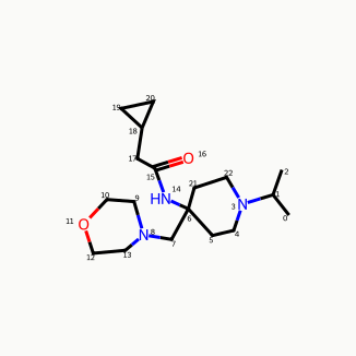 CC(C)N1CCC(CN2CCOCC2)(NC(=O)CC2CC2)CC1